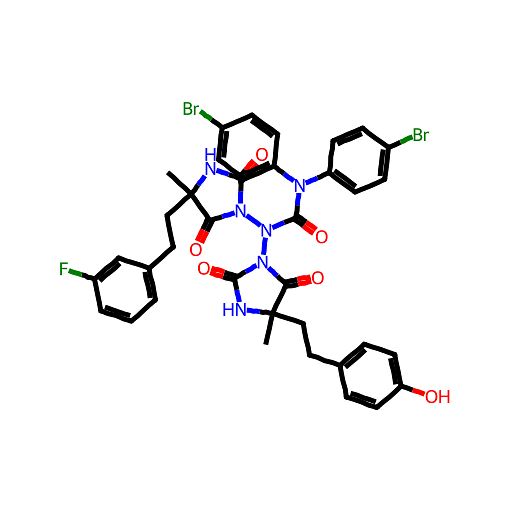 CC1(CCc2ccc(O)cc2)NC(=O)N(N(C(=O)N(c2ccc(Br)cc2)c2ccc(Br)cc2)N2C(=O)NC(C)(CCc3cccc(F)c3)C2=O)C1=O